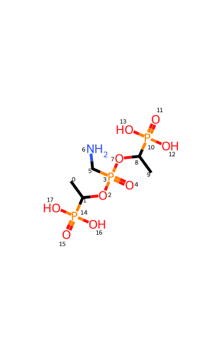 CC(OP(=O)(CN)OC(C)P(=O)(O)O)P(=O)(O)O